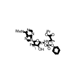 CNc1ncnc2c1ncn2[C@@H]1O[C@H](CO[P@](=O)(N[C@H](C)C(=O)OC(C)C)Oc2ccccc2)[C@@H](O)[C@@]1(C)F